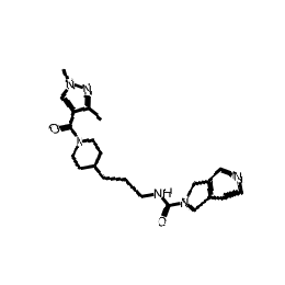 Cc1nn(C)cc1C(=O)N1CCC(CCCNC(=O)N2Cc3ccncc3C2)CC1